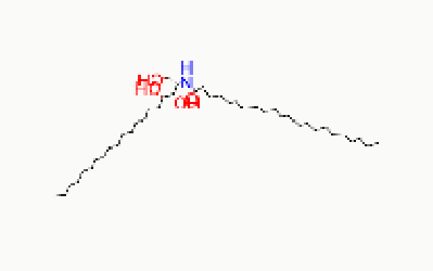 CCCCCCCCCCCCCCCCCCCCCC(=O)N[C@@H](CO)[C@H](O)[C@H](O)CCCCCCCCCCCCCCCC